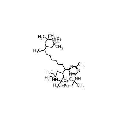 Cc1nc(NC(C)(C)CC(C)(C)C)nc(C(CCCCCCN(C)C2CC(C)(C)NC(C)(C)C2)C2CC(C)(C)NC(C)(C)C2)n1